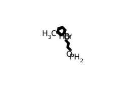 Br.Cc1cccc(OCCCCOP)c1